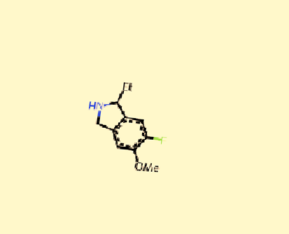 CCC1NCc2cc(OC)c(F)cc21